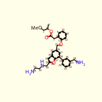 COCC(C)OC(=O)Cc1ccccc1OCc1cc(-c2cccc(CN)c2)c2oc(CNCCN)cc2c1